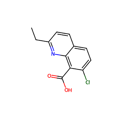 CCc1ccc2ccc(Cl)c(C(=O)O)c2n1